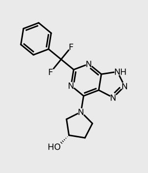 O[C@H]1CCN(c2nc(C(F)(F)c3ccccc3)nc3[nH]nnc23)C1